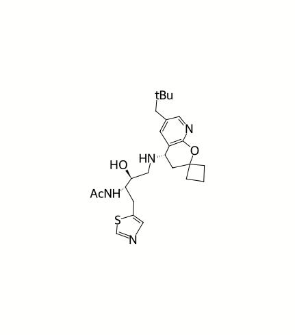 CC(=O)N[C@@H](Cc1cncs1)[C@@H](O)CN[C@H]1CC2(CCC2)Oc2ncc(CC(C)(C)C)cc21